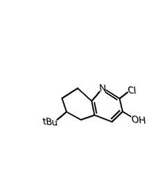 CC(C)(C)C1CCc2nc(Cl)c(O)cc2C1